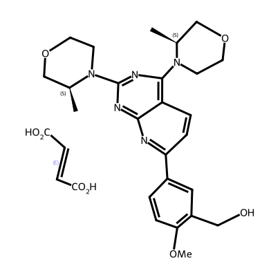 COc1ccc(-c2ccc3c(N4CCOC[C@@H]4C)nc(N4CCOC[C@@H]4C)nc3n2)cc1CO.O=C(O)/C=C/C(=O)O